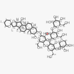 C[C@@H]1CC[C@@]2(OC1)O[C@@H]1C([C@@H]2C)[C@@]2(C)CCC3[C@@H](CC[C@H]4C[C@@H](O[C@@H]5O[C@H](CO)[C@H](O[C@@H]6O[C@H](CO)[C@@H](O)[C@H](O[C@@H]7OC[C@@H](O)[C@H](O)[C@H]7O)C6O[C@@H]6O[C@H](CO)[C@H](O)[C@H](O[C@@H]7O[C@H](CO)[C@@H](O)[C@H](O)[C@H]7O)[C@H]6O)[C@H](O)[C@H]5O)[C@H](O)C[C@]34C)[C@@H]2[C@@H]1O